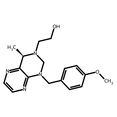 COc1ccc(CN2CN(CCO)[C@H](C)c3nccnc32)cc1